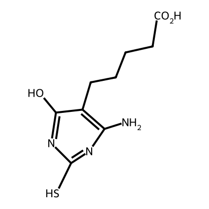 Nc1nc(S)nc(O)c1CCCCC(=O)O